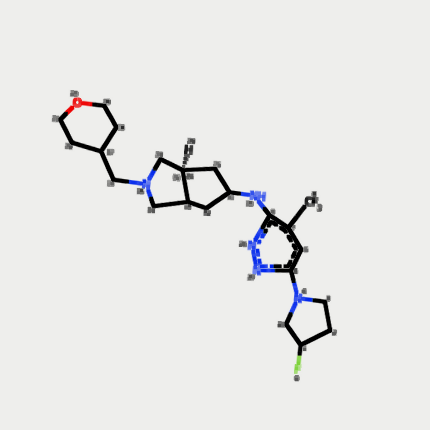 FC1CCN(c2cc(C(F)(F)F)c(NC3CC4CN(CC5CCOCC5)C[C@H]4C3)nn2)C1